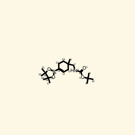 CC1(CNC(=O)OC(C)(C)C)CC=C(B2OC(C)(C)C(C)(C)O2)CC1